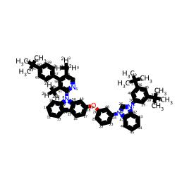 [2H]C([2H])([2H])c1cnc(-n2c3ccccc3c3ccc(Oc4cccc(-n5c[n+](-c6cc(C(C)(C)C)cc(C(C)(C)C)c6)c6ccccc65)c4)cc32)c(C([2H])([2H])[2H])c1-c1ccc(C(C)(C)C)cc1